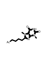 CC(=O)CCCCc1nc2c(c(=O)[nH]c(=O)n2C)n1C